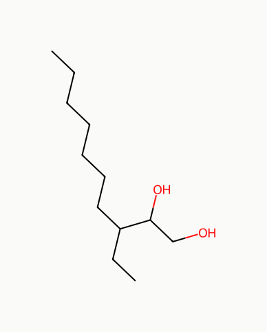 CCCCCCCC(CC)C(O)CO